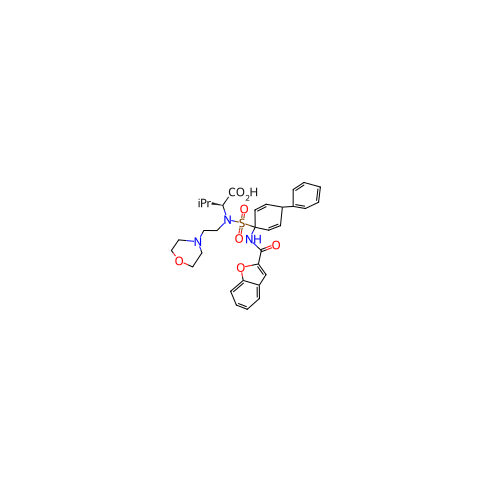 CC(C)[C@@H](C(=O)O)N(CCN1CCOCC1)S(=O)(=O)C1(NC(=O)c2cc3ccccc3o2)C=CC(c2ccccc2)C=C1